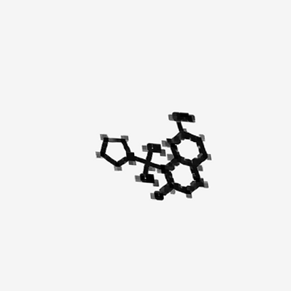 COc1ccc2ncc(=O)n(C(C)(C)N3CCCC3)c2n1